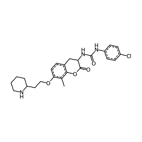 Cc1c(OCCC2CCCCN2)ccc2c1OC(=O)C(NC(=O)Nc1ccc(Cl)cc1)C2